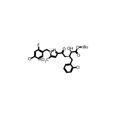 CCCCOC(=O)[C@H](O)[C@H](CC(=O)c1cc(C(=O)O)n(Cc2ccc(Cl)cc2F)n1)Cc1ccccc1Cl